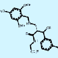 COc1cc(OC)c(CNC[C@@H](C(=O)NCC(=O)O)C(O)c2cccc(Cl)c2)c(OC)c1